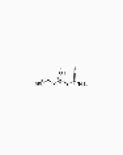 CCCCCC[C@@H](O)CC(N)=O